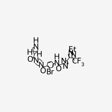 CCn1cc(-c2cnc(C(=O)Nc3ccc(C(=O)N4CCN(C(=O)C5[C@H]6CNC[C@@H]56)CC4)c(Br)c3)n2C)c(C(F)(F)F)n1